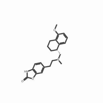 COc1cccc2c1CCC[C@H]2CN(C)CCc1ccc2[nH]c(=O)oc2c1